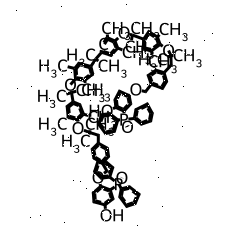 Cc1cc(C(C)(C)Oc2c(C)cc(C(C)(C)c3cc(C)c(OC(C)(C)c4cc(C)c(OC(C)(C)Cc5ccc(COc6ccc(O)cc6P(=O)(c6ccccc6)c6ccccc6)cc5)c(C)c4)c(C)c3)cc2C)cc(C)c1OC(C)(C)Cc1ccc(COc2ccc(O)c(P(=O)(c3ccccc3)c3ccccc3)c2)cc1